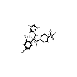 C[C@@H](N1CCN(S(C)(=O)=O)CC1)[C@](O)(Cn1cncn1)c1ccc(F)cc1F